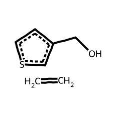 C=C.OCc1ccsc1